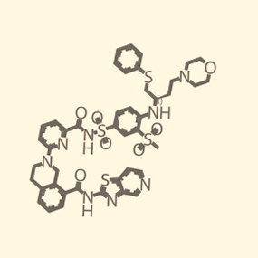 CS(=O)(=O)c1cc(S(=O)(=O)NC(=O)c2cccc(N3CCc4cccc(C(=O)Nc5nc6cnccc6s5)c4C3)n2)ccc1N[C@H](CCN1CCOCC1)CSc1ccccc1